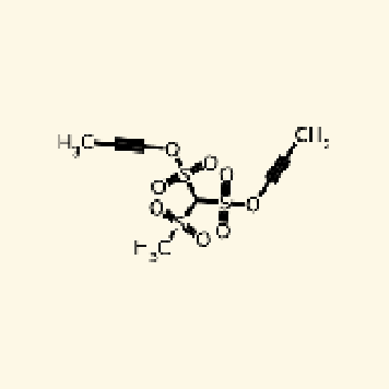 CC#COS(=O)(=O)C(S(C)(=O)=O)S(=O)(=O)OC#CC